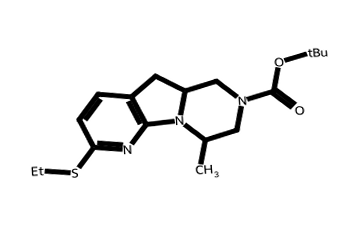 CCSc1ccc2c(n1)N1C(C)CN(C(=O)OC(C)(C)C)CC1C2